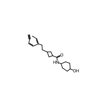 C#C/C=C\C(=C/C)CCC1CC(C(=O)NC2CCC(O)CC2)C1